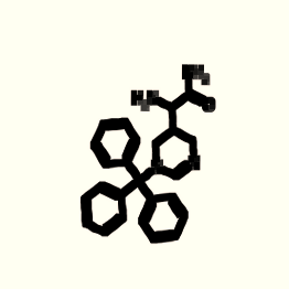 NC(=O)C(N)C1CN=CN(C(c2ccccc2)(c2ccccc2)c2ccccc2)C1